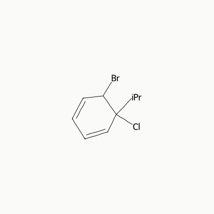 CC(C)C1(Cl)C=CC=CC1Br